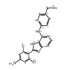 Nc1cc(Cl)c(-c2nc3ccnc(Nc4ccc(CO)cn4)c3[nH]2)c(Cl)c1